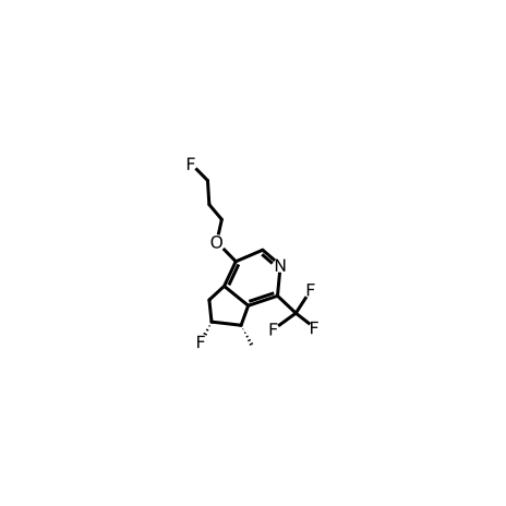 C[C@H]1c2c(C(F)(F)F)ncc(OCCCF)c2C[C@H]1F